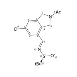 CC(=O)N1Cc2cc(Cl)cc(C=N[S@@+]([O-])C(C)(C)C)c2C1